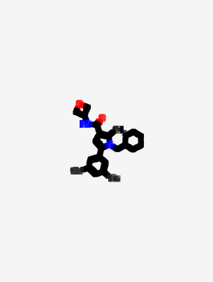 Cc1c(C(=O)NC2COC2)cc(-c2cc(C(C)(C)C)cc(C(C)(C)C)c2)n1CC1CCCCC1